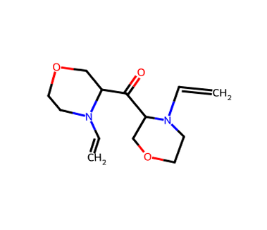 C=CN1CCOCC1C(=O)C1COCCN1C=C